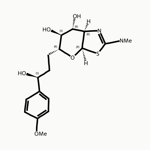 CNC1=N[C@@H]2[C@@H](O)[C@H](O)[C@@H](CC[C@H](O)c3ccc(OC)cc3)O[C@@H]2S1